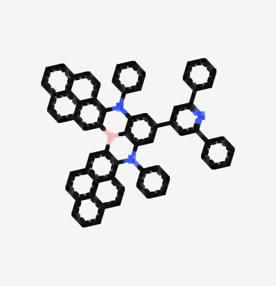 c1ccc(-c2cc(-c3cc4c5c(c3)N(c3ccccc3)c3c(cc6ccc7cccc8ccc3c6c78)B5c3cc5ccc6cccc7ccc(c3N4c3ccccc3)c5c67)cc(-c3ccccc3)n2)cc1